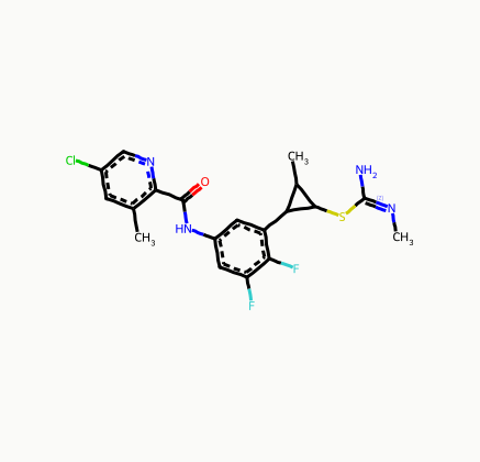 C/N=C(/N)SC1C(C)C1c1cc(NC(=O)c2ncc(Cl)cc2C)cc(F)c1F